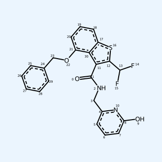 O=C(NCc1cccc(O)n1)c1c(C(F)F)sc2cccc(OCc3ccccc3)c12